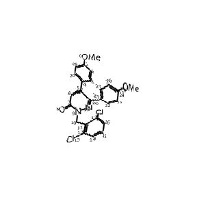 COc1ccc(-c2cc(=O)n(Cc3c(Cl)cccc3Cl)nc2-c2ccc(OC)cc2)cc1